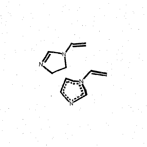 C=CN1C=NCC1.C=Cn1ccnc1